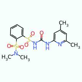 Cc1cc(C)nc(NC(=O)NS(=O)(=O)c2ccccc2S(=O)(=O)N(C)C)c1